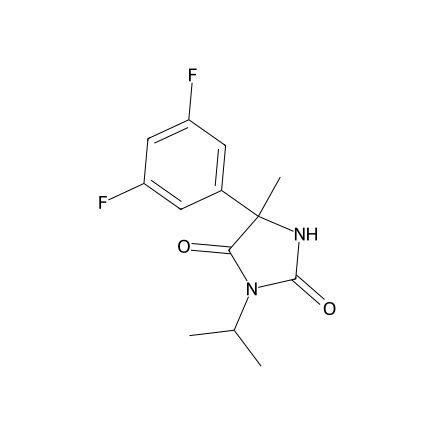 CC(C)N1C(=O)NC(C)(c2cc(F)cc(F)c2)C1=O